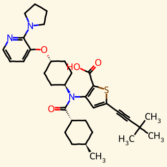 CC(C)(C)C#Cc1cc(N(C(=O)[C@H]2CC[C@H](C)CC2)[C@H]2CC[C@H](Oc3cccnc3N3CCCC3)CC2)c(C(=O)O)s1